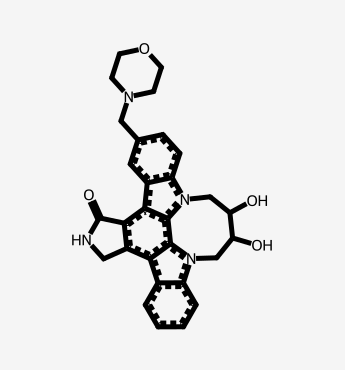 O=C1NCc2c1c1c3cc(CN4CCOCC4)ccc3n3c1c1c2c2ccccc2n1CC(O)C(O)C3